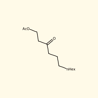 CCCCCCCCCC(=O)CCOC(C)=O